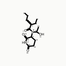 CC/C=C(\CC)C(=O)N(C(C)O)C1CCC(=O)NC1=O